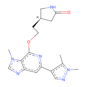 Cc1c(-c2cc3ncn(C)c3c(OCC[C@H]3CNC(=O)C3)n2)cnn1C